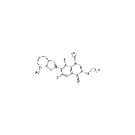 CC(=O)N1CCCC2CN(c3c(F)cc4c(=O)c(OC(=O)O)cn(C5CC5)c4c3F)CC21